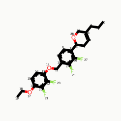 CCCC1=CCC(c2ccc(COc3ccc(OCC)c(F)c3F)c(F)c2F)OC1